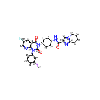 O=C(N[C@H]1CC[C@@H](n2c(=O)c3cc(F)cnc3n(-c3cccc(I)c3)c2=O)CC1)c1cn2c(n1)CCCC2